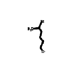 CCC(CCCC[O])C(F)(F)F